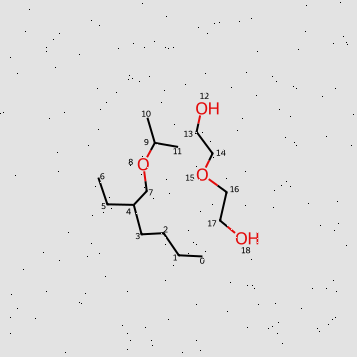 CCCCC(CC)COC(C)C.OCCOCCO